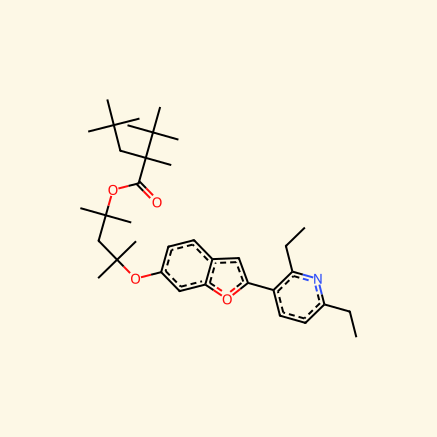 CCc1ccc(-c2cc3ccc(OC(C)(C)CC(C)(C)OC(=O)C(C)(CC(C)(C)C)C(C)(C)C)cc3o2)c(CC)n1